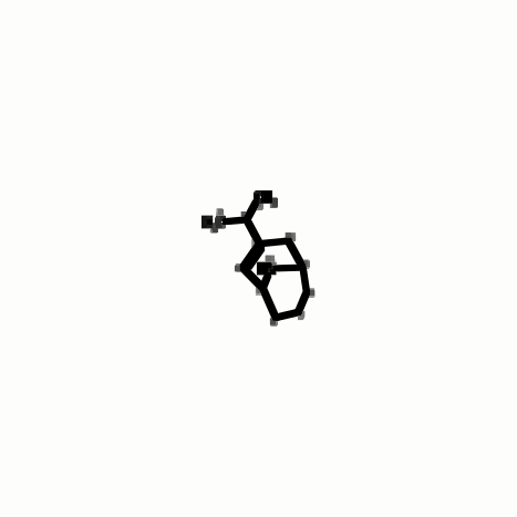 CC(C)C1=CC2CCCC(C1)N2